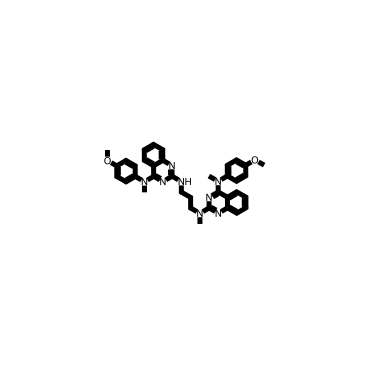 COc1ccc(N(C)c2nc(NCCCN(C)c3nc(N(C)c4ccc(OC)cc4)c4ccccc4n3)nc3ccccc23)cc1